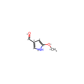 COc1cc(C=O)c[nH]1